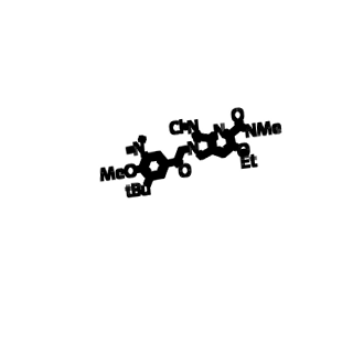 CCOc1cc2c(nc1C(=O)NC)/C(=N/Cl)N(CC(=O)c1cc(N(C)C)c(OC)c(C(C)(C)C)c1)C2